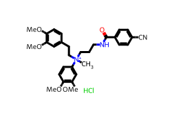 COc1ccc(CC[N+](C)(CCCNC(=O)c2ccc(C#N)cc2)c2ccc(OC)c(OC)c2)cc1OC.Cl